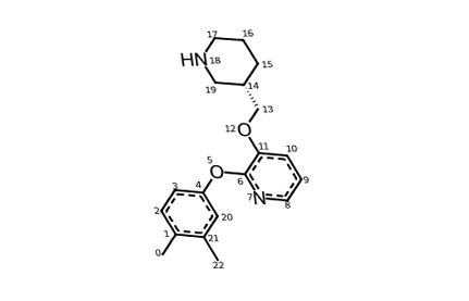 Cc1ccc(Oc2ncccc2OC[C@H]2CCCNC2)cc1C